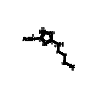 CC(=O)Nc1nc(NCCSC(C)=O)n[nH]1